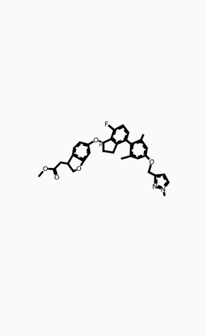 COC(=O)CC1COc2cc(O[C@@H]3CCc4c(-c5c(C)cc(OCc6ccn(C)n6)cc5C)ccc(F)c43)ccc21